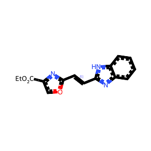 CCOC(=O)c1coc(/C=C/c2nc3ccccc3[nH]2)n1